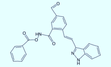 O=Cc1ccc(/C=C/c2n[nH]c3ccccc23)c(C(=O)NOC(=O)c2ccccc2)c1